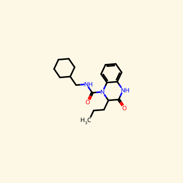 CCCC1C(=O)Nc2ccccc2N1C(=O)NCC1CCCCC1